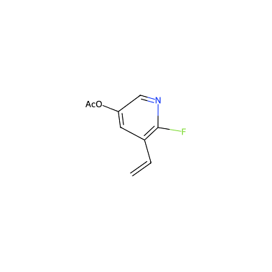 C=Cc1cc(OC(C)=O)cnc1F